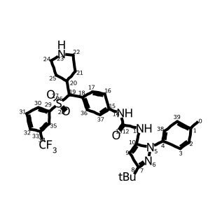 Cc1ccc(-n2nc(C(C)(C)C)cc2NC(=O)Nc2ccc(C(C3CCNCC3)S(=O)(=O)c3cccc(C(F)(F)F)c3)cc2)cc1